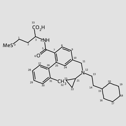 CSCCC(NC(=O)c1ccc(CN(CCC2CCCCC2)C2CC2)cc1-c1ccccc1C)C(=O)O